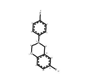 Fc1ccc(N2COc3ccc(F)cc3C2)cc1